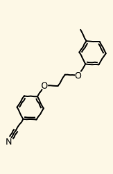 Cc1cccc(OCCOc2ccc(C#N)cc2)c1